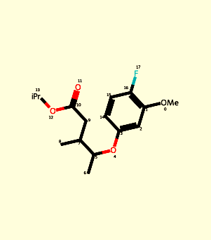 COc1cc(OC(C)C(C)CC(=O)OC(C)C)ccc1F